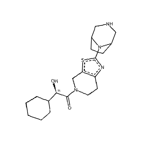 O=C([C@H](O)C1CCCCC1)N1CCc2nc(N3C4CCC3CNC4)sc2C1